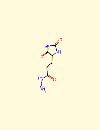 NNC(=O)CCC1NC(=O)NC1=O